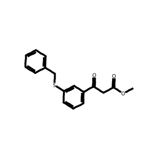 COC(=O)CC(=O)c1cccc(SCc2ccccc2)c1